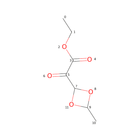 CCOC(=O)C(=O)C1OC(C)O1